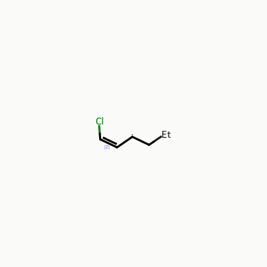 CCC[CH]/C=C\Cl